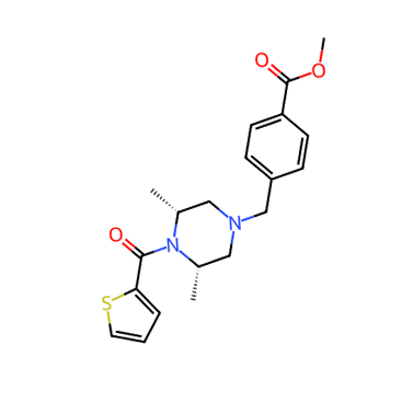 COC(=O)c1ccc(CN2C[C@@H](C)N(C(=O)c3cccs3)[C@@H](C)C2)cc1